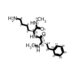 CNC(=O)[C@H](CCCCN)NC(=O)[C@H](CCc1ccccc1)NC